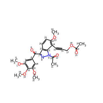 COc1cc(C(=O)c2nn(C(C)=O)c3c(C#CCOC(C)=O)c(OC)ccc23)cc(OC)c1OC